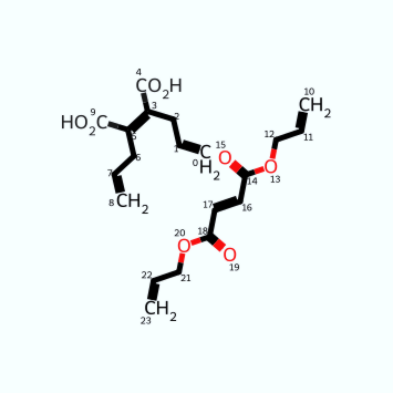 C=CC/C(C(=O)O)=C(\CC=C)C(=O)O.C=CCOC(=O)/C=C/C(=O)OCC=C